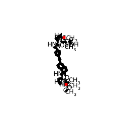 COC(=O)N[C@H](C(=O)N1[C@@H]2C[C@@H]2C[C@H]1c1nc2ccc3cc(C#Cc4ccc(-c5c[nH]c([C@@H]6C[C@H]7C[C@H]7N6C(=O)[C@H](C(C)C)N(C)C(=O)O)n5)cc4)ccc3c2[nH]1)C(C)C